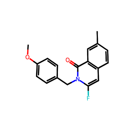 COc1ccc(Cn2c(F)cc3ccc(C)cc3c2=O)cc1